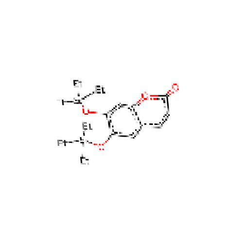 CC[Si](CC)(CC)Oc1cc2ccc(=O)oc2cc1O[Si](CC)(CC)CC